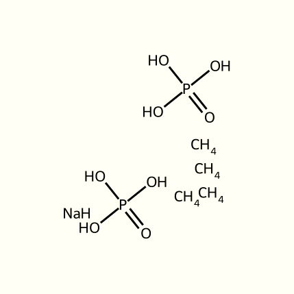 C.C.C.C.O=P(O)(O)O.O=P(O)(O)O.[NaH]